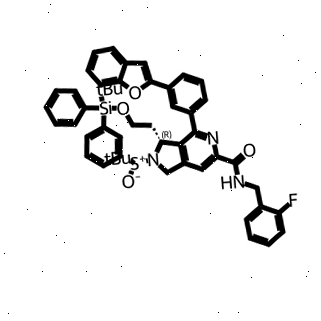 CC(C)(C)[S+]([O-])N1Cc2cc(C(=O)NCc3ccccc3F)nc(-c3cccc(-c4cc5ccccc5o4)c3)c2[C@H]1CCO[Si](c1ccccc1)(c1ccccc1)C(C)(C)C